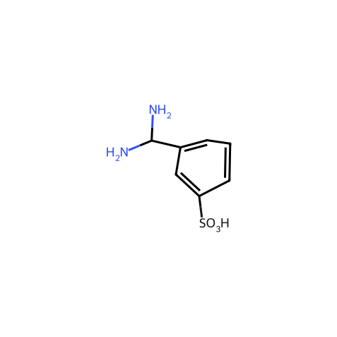 NC(N)c1cccc(S(=O)(=O)O)c1